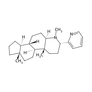 CN1[C@H](c2ccccn2)CC[C@]2(C)[C@H]3CC[C@]4(C)CCC[C@H]4[C@@H]3CC[C@@H]12